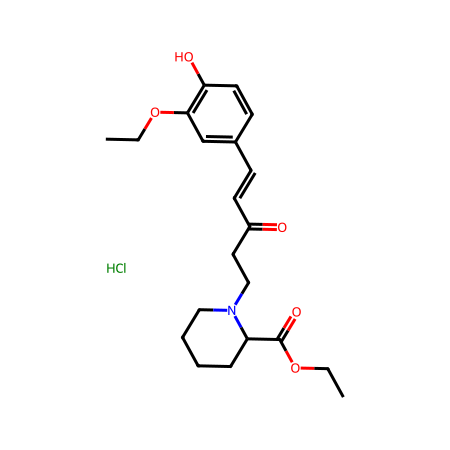 CCOC(=O)C1CCCCN1CCC(=O)C=Cc1ccc(O)c(OCC)c1.Cl